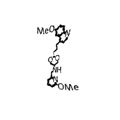 COc1ccc2nccc(CCC[C@H]3OC[C@H](NCc4cccc(OC)n4)CO3)c2c1